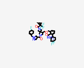 NC(=O)c1c(COCC2CN(C(=O)c3cnn(Cc4ccc(F)cc4)c3)CC23CN(C(=O)C2(C(F)(F)F)CC2)C3)cccc1C1CCC(F)(F)CC1